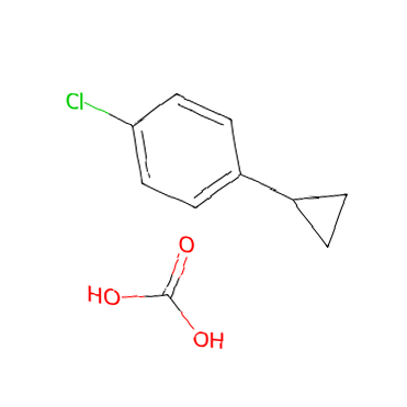 Clc1ccc(C2CC2)cc1.O=C(O)O